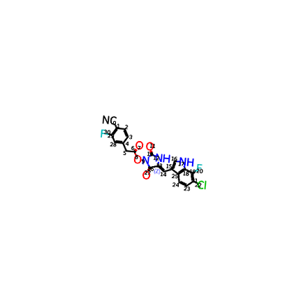 N#Cc1ccc(CC(=O)ON2C(=O)N/C(=C\c3c[nH]c4c(F)c(Cl)ccc34)C2=O)cc1F